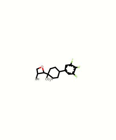 CCCC1COC1C1(C(=O)O)CCC(c2cc(F)c(F)c(F)c2)CC1